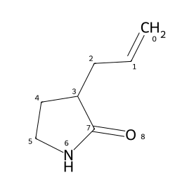 C=CCC1CCNC1=O